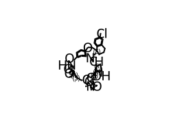 C[C@@H]1[C@@H](C)CCC[C@@](O)(CS(=O)(=O)N(C)C)[C@@H]2CC[C@H]2CN2C[C@@]3(CCCc4cc(Cl)ccc43)COc3ccc(cc32)C(=O)NS1(=O)=O